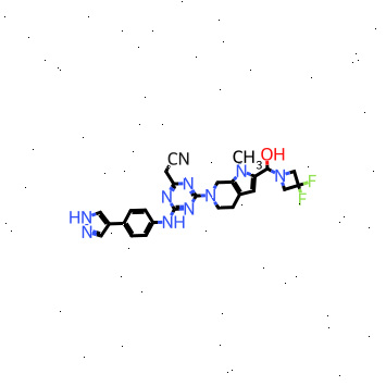 Cn1c(C(O)N2CC(F)(F)C2)cc2c1CN(c1nc(CC#N)nc(Nc3ccc(-c4cn[nH]c4)cc3)n1)CC2